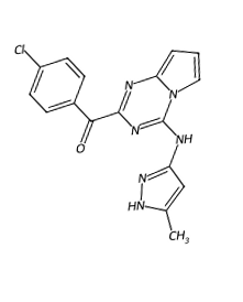 Cc1cc(Nc2nc(C(=O)c3ccc(Cl)cc3)nc3cccn23)n[nH]1